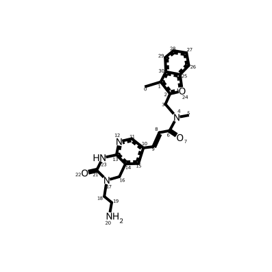 Cc1c(CN(C)C(=O)/C=C/c2cnc3c(c2)CN(CCN)C(=O)N3)oc2ccccc12